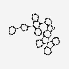 c1ccc(-c2ccc(-c3c4ccccc4c(-c4cccc5oc6cc7c(cc6c45)-c4ccccc4C74c5ccccc5-c5ccccc54)c4ccccc34)cc2)cc1